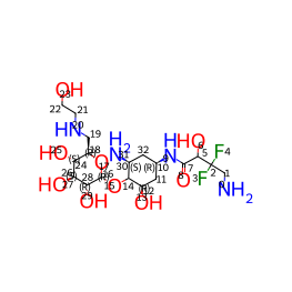 NCC(F)(F)C(O)C(=O)N[C@H]1C[C@@H](O)C(O[C@H]2O[C@H](CNCCO)[C@@H](O)[C@H](O)[C@H]2O)[C@@H](N)C1